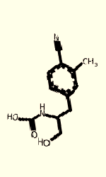 Cc1cc(CC(CO)NC(=O)O)ccc1C#N